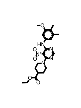 CCOC(=O)C1CCN(c2ncnc(Nc3cc(C)c(C)c(OC)c3)c2[N+](=O)[O-])CC1